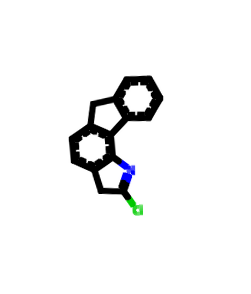 ClC1=Nc2c(ccc3c2-c2ccccc2C3)C1